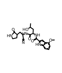 COc1cccc2[nH]c(C(=O)NC(CC(C)O)C(=O)NC(C#N)CC3CCNC3=O)cc12